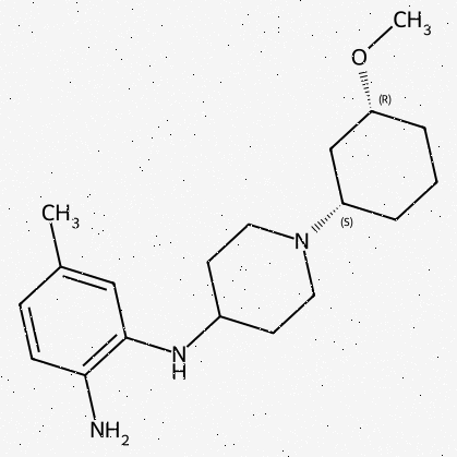 CO[C@@H]1CCC[C@H](N2CCC(Nc3cc(C)ccc3N)CC2)C1